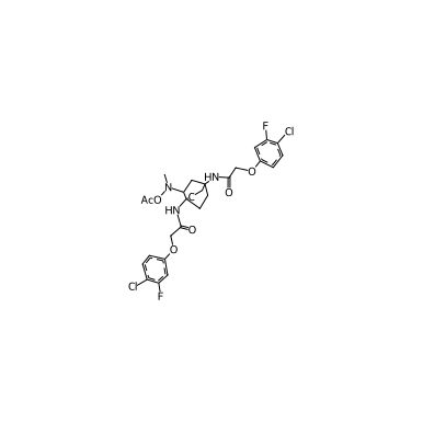 CC(=O)ON(C)C1CC2(NC(=O)COc3ccc(Cl)c(F)c3)CCC1(NC(=O)COc1ccc(Cl)c(F)c1)CC2